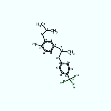 CC(C)Cc1cc(CC(C)Cc2ccc(C(F)(F)F)cc2)ccc1F